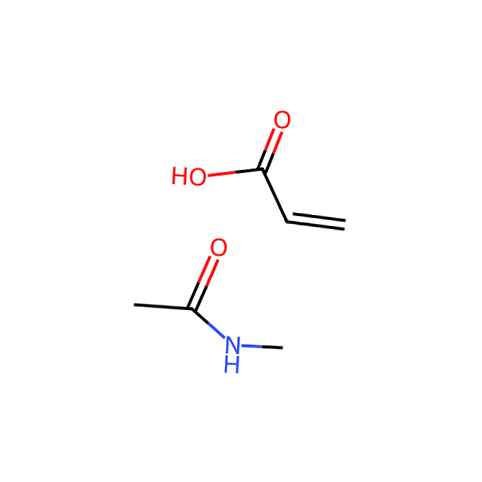 C=CC(=O)O.CNC(C)=O